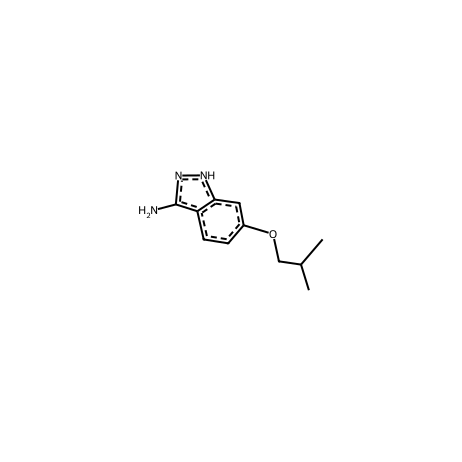 CC(C)COc1ccc2c(N)n[nH]c2c1